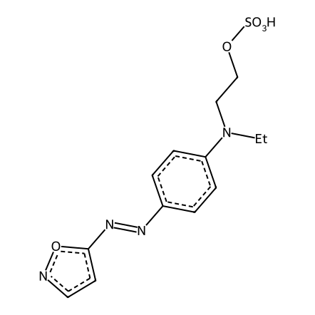 CCN(CCOS(=O)(=O)O)c1ccc(/N=N/c2ccno2)cc1